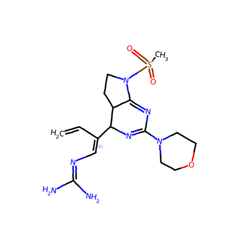 C=C/C(=C\N=C(N)N)C1N=C(N2CCOCC2)N=C2C1CCN2S(C)(=O)=O